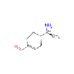 C[C@H](N)C1CC=C(C=O)CC1